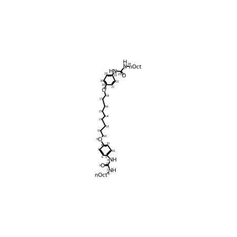 CCCCCCCCNC(=O)Nc1ccc(OCCCCCCCCCOc2ccc(NC(=O)NCCCCCCCC)cc2)cc1